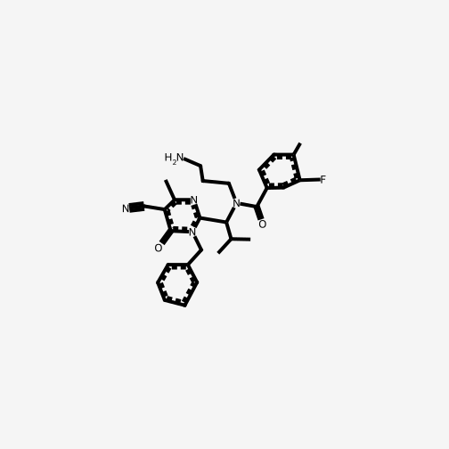 Cc1ccc(C(=O)N(CCCN)C(c2nc(C)c(C#N)c(=O)n2Cc2ccccc2)C(C)C)cc1F